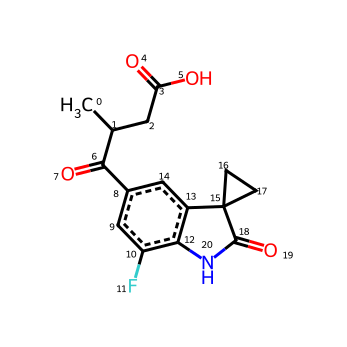 CC(CC(=O)O)C(=O)c1cc(F)c2c(c1)C1(CC1)C(=O)N2